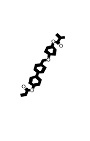 C=CC(=O)Oc1ccc(-c2ccc(COc3ccc(OC(=O)C(=C)C)cc3)cc2)cc1